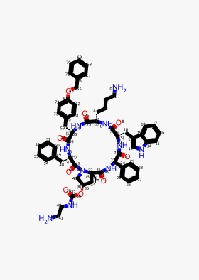 NCCCC[C@@H]1NC(=O)[C@H](Cc2c[nH]c3ccccc23)NC(=O)C(c2ccccc2)NC(=O)[C@@H]2C[C@@H](OC(=O)NCCN)CN2C(=O)[C@H](Cc2ccccc2)NC(=O)[C@H](Cc2ccc(OCc3ccccc3)cc2)NC1=O